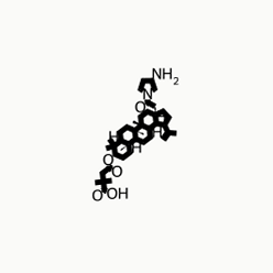 C=C(C)C1CC[C@]2(CC(=O)N3CC[C@H](N)C3)CC[C@]3(C)[C@H](CC[C@@H]4[C@@]5(C)CC[C@H](OC(=O)CC(C)(C)C(=O)O)C(C)(C)[C@@H]5CC[C@]43C)[C@@H]12